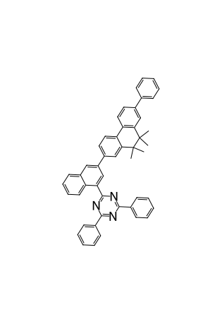 CC1(C)c2cc(-c3ccccc3)ccc2-c2ccc(-c3cc(-c4nc(-c5ccccc5)nc(-c5ccccc5)n4)c4ccccc4c3)cc2C1(C)C